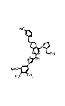 COc1cc(-n2cnc(Nc3nc4c(c(N5CCC[C@H]5CO)n3)CCN(Cc3cccc(C#N)c3)C4)c2)cc(C)c1C